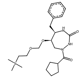 C[Si](C)(C)CCOCO[C@@H]1CN(C(=O)C2CCCC2)NC(=O)N[C@@H]1Cc1ccccc1